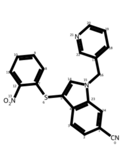 N#Cc1ccc2c(Sc3ccccc3[N+](=O)[O-])cn(Cc3cccnc3)c2c1